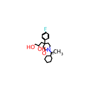 C[C@@H](C1CCCCC1)N1CCC(CC(O)CO)(c2ccc(F)cc2)CC1=O